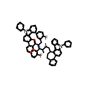 C=C(/C(Cc1ccccc1F)=C(\c1ccccc1F)C(C)[C@@H](C)CC1CCc2ccccc2-c2ccc3c(c21)c1ccccc1n3-c1ccccc1)c1ccccc1-c1ccc2c(c1C)c1ccccc1n2-c1ccccc1